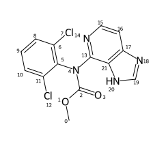 COC(=O)N(c1c(Cl)cccc1Cl)c1nccc2nc[nH]c12